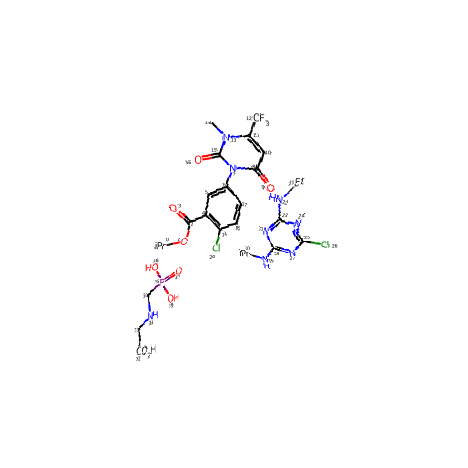 CC(C)OC(=O)c1cc(-n2c(=O)cc(C(F)(F)F)n(C)c2=O)ccc1Cl.CCNc1nc(Cl)nc(NC(C)C)n1.O=C(O)CNCP(=O)(O)O